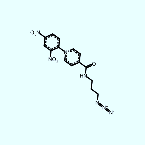 [N-]=[N+]=NCCCNC(=O)c1cc[n+](-c2ccc([N+](=O)[O-])cc2[N+](=O)[O-])cc1